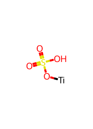 O=S(=O)(O)[O][Ti]